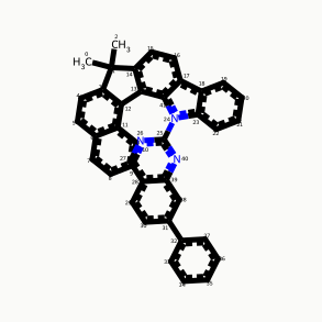 CC1(C)c2ccc3ccccc3c2-c2c1ccc1c3ccccc3n(-c3ncc4ccc(-c5ccccc5)cc4n3)c21